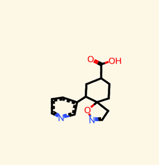 O=C(O)C1CCC2(CC=NO2)C(c2cccnc2)C1